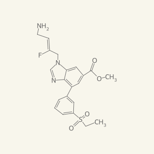 CCS(=O)(=O)c1cccc(-c2cc(C(=O)OC)cc3c2ncn3CC(F)=CCN)c1